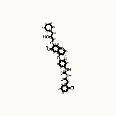 COc1cc2c(Oc3ccc(NC(=S)NC(=O)Cc4ccccc4Cl)cc3F)ccnc2cc1OCC(O)CN1CCCCC1